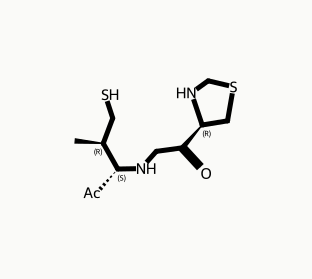 CC(=O)[C@@H](NCC(=O)[C@@H]1CSCN1)[C@@H](C)CS